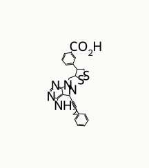 Nc1ncnc2c1c(C#Cc1ccccc1)nn2CC1SSCC1c1cccc(C(=O)O)c1